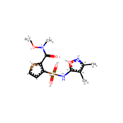 CON(C)C(=O)c1sccc1S(=O)(=O)Nc1onc(C)c1C